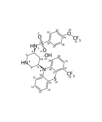 O=S(=O)(N[C@@H]1CNC[C@H](N2c3ccccc3Sc3c2cccc3C(F)(F)F)[C@H]1O)c1ccc(OC(F)(F)F)cc1